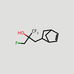 OC(CF)(CC1CC2C=CC1C2)C(F)(F)F